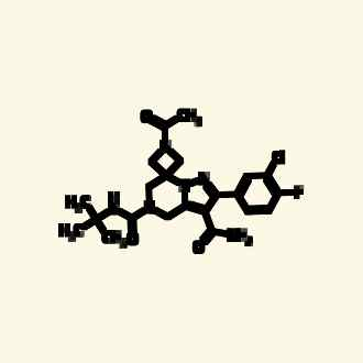 CC(=O)N1CC2(C1)CN(C(=O)NC(C)(C)C)Cc1c(C(N)=O)c(-c3ccc(F)c(Cl)c3)nn12